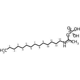 CCCCCCCCCCCCCCNC(C)OP(=O)(O)O